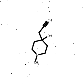 C#CCC1(O)CCN(C)CC1